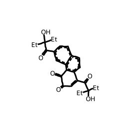 CCC(O)(CC)C(=O)C1=CC(=O)C(=O)c2c1ccc1ccc(C(=O)C(O)(CC)CC)cc21